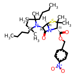 CCCCC1(C)[SiH2]C[Si](C)(CCCC)N1[C@@H]1C(=O)N2[C@@H]1SC(C)(C)[C@@H]2C(=O)OCc1ccc([N+](=O)[O-])cc1